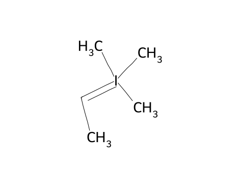 CC=I(C)(C)C